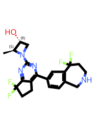 C[C@H]1[C@H](O)CN1c1nc(-c2ccc3c(c2)C(F)(F)CCNC3)c2c(n1)C(F)(F)CC2